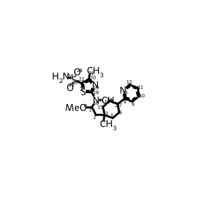 COC(CC1(C)CCC(c2ccccn2)CC1)N(C)c1nc(C)c(S(N)(=O)=O)s1